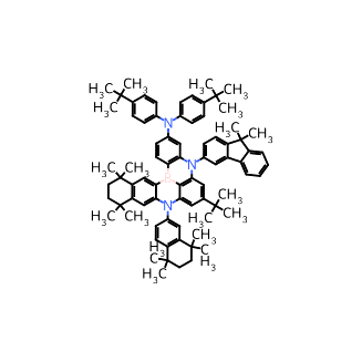 CC(C)(C)c1ccc(N(c2ccc(C(C)(C)C)cc2)c2ccc3c(c2)N(c2ccc4c(c2)-c2ccccc2C4(C)C)c2cc(C(C)(C)C)cc4c2B3c2cc3c(cc2N4c2ccc4c(c2)C(C)(C)CCC4(C)C)C(C)(C)CCC3(C)C)cc1